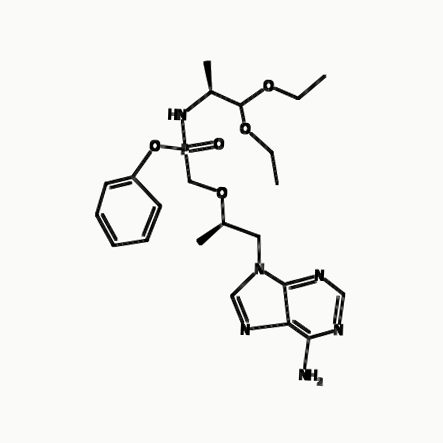 CCOC(OCC)[C@H](C)NP(=O)(CO[C@H](C)Cn1cnc2c(N)ncnc21)Oc1ccccc1